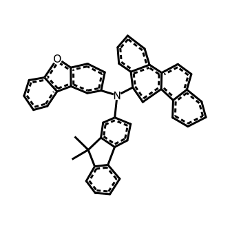 CC1(C)c2ccccc2-c2ccc(N(c3ccc4oc5ccccc5c4c3)c3cc4c5ccccc5ccc4c4ccccc34)cc21